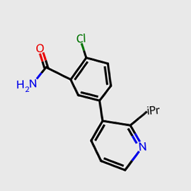 CC(C)c1ncccc1-c1ccc(Cl)c(C(N)=O)c1